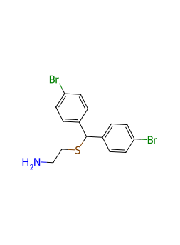 NCCSC(c1ccc(Br)cc1)c1ccc(Br)cc1